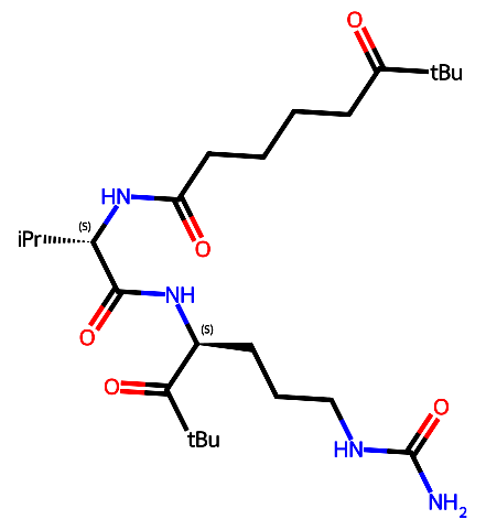 CC(C)[C@H](NC(=O)CCCCC(=O)C(C)(C)C)C(=O)N[C@@H](CCCNC(N)=O)C(=O)C(C)(C)C